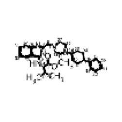 COC(=O)[C@@H](Nc1nc(CN2CCN(C3CCC(c4ccccc4)CC3)CC2)nc2ccccc12)C(C)C